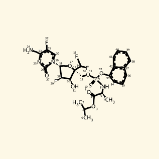 CC(C)OC(=O)[C@H](C)NP(=S)(OC[C@@]1(C(F)F)O[C@@H](n2cc(F)c(N)nc2=O)[C@H](F)[C@@H]1O)Oc1cccc2ccccc12